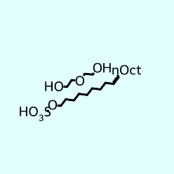 CCCCCCCC/C=C\CCCCCCCCOS(=O)(=O)O.OCCOCCO